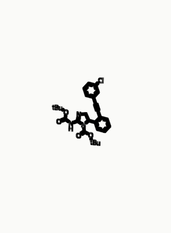 CC(C)(C)OC(=O)NC1=NCC(c2ccccc2C#Cc2cccc(Cl)c2)N1C(=O)OC(C)(C)C